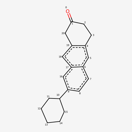 O=C1CCc2cc3ccc(C4CCCCC4)cc3cc2C1